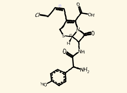 NC(C(=O)NC1C(=O)N2C(C(=O)O)=C(/C=C\CCl)CS[C@@H]12)c1ccc(O)cc1